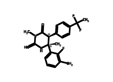 Bc1cccc([C@@]2(C)NC(=N)N(C)C(=O)[C@H]2c2ccc(C(C)(F)F)cc2)c1F